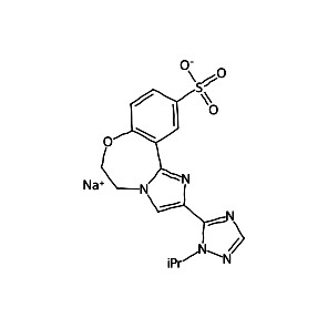 CC(C)n1ncnc1-c1cn2c(n1)-c1cc(S(=O)(=O)[O-])ccc1OCC2.[Na+]